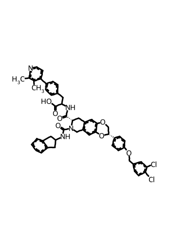 Cc1nccc(-c2ccc(CC(NC(=O)[C@@H]3Cc4cc5c(cc4CN3C(=O)NC3Cc4ccccc4C3)O[C@@H](c3ccc(OCc4ccc(Cl)c(Cl)c4)cc3)CO5)C(=O)O)cc2)c1C